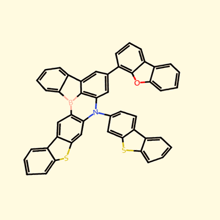 c1ccc2c(c1)B1c3cc4c(cc3N(c3ccc5c(c3)sc3ccccc35)c3cc(-c5cccc6c5oc5ccccc56)cc-2c31)sc1ccccc14